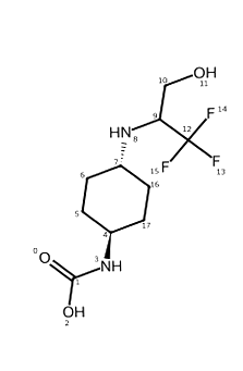 O=C(O)N[C@H]1CC[C@H](NC(CO)C(F)(F)F)CC1